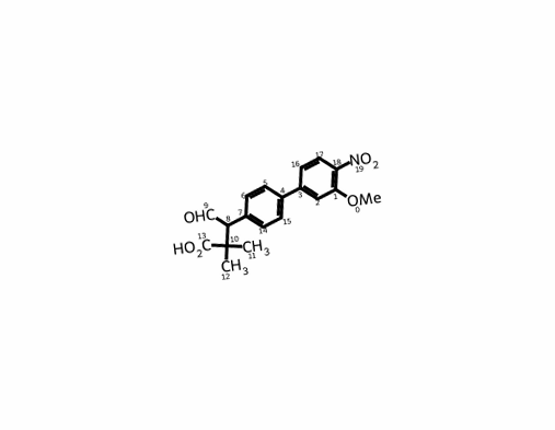 COc1cc(-c2ccc(C(C=O)C(C)(C)C(=O)O)cc2)ccc1[N+](=O)[O-]